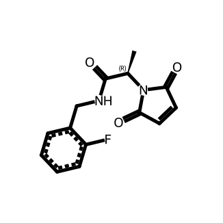 C[C@H](C(=O)NCc1ccccc1F)N1C(=O)C=CC1=O